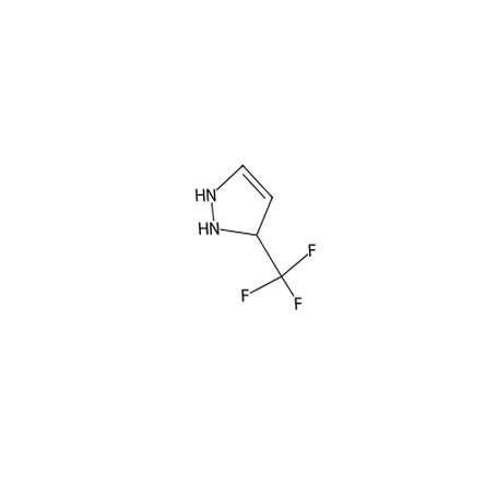 FC(F)(F)C1C=CNN1